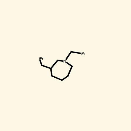 CC(C)CC1CCCCN(CC(C)C)C1